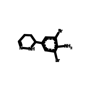 Nc1c(Br)cc(C2CCC=NN2)cc1Br